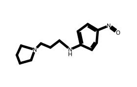 O=Nc1ccc(NCCCN2CCCC2)cc1